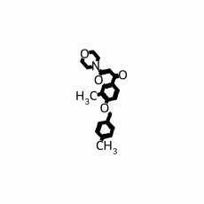 Cc1ccc(COc2ccc3c(=O)cc(N4CCOCC4)oc3c2C)cc1